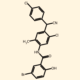 Cc1cc(C(C#N)c2ccc(Cl)cc2)c(Cl)cc1NC(=O)c1cc(Br)ccc1O